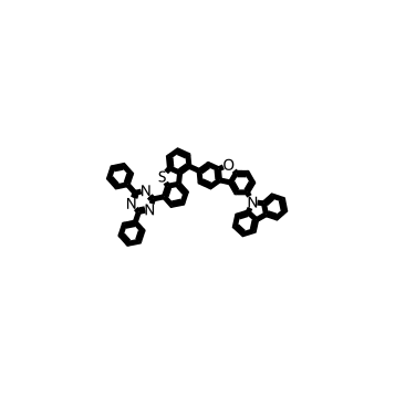 c1ccc(-c2nc(-c3ccccc3)nc(-c3cccc4c3sc3cccc(-c5ccc6c(c5)oc5ccc(-n7c8ccccc8c8ccccc87)cc56)c34)n2)cc1